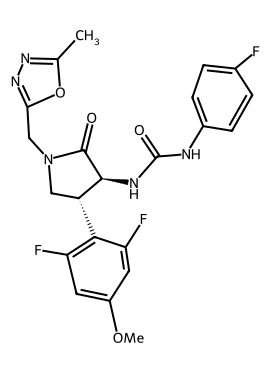 COc1cc(F)c([C@@H]2CN(Cc3nnc(C)o3)C(=O)[C@H]2NC(=O)Nc2ccc(F)cc2)c(F)c1